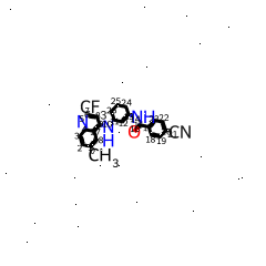 Cc1ccc2nc(C(F)(F)F)cc(N[C@@H]3C=C(NC(=O)c4ccc(C#N)cc4)CCC3)c2c1